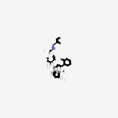 O=C(/C=C/c1ccsc1)N1CCC(Nc2cc(-c3ccccc3Cl)nc3c(Br)cnn23)CC1